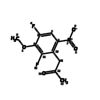 COc1c(F)cc([N+](=O)[O-])c(CC(C)=O)c1F